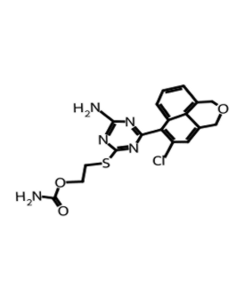 NC(=O)OCCSc1nc(N)nc(-c2c(Cl)cc3c4c(cccc24)COC3)n1